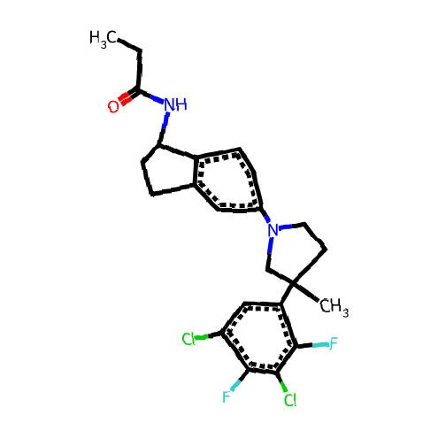 CCC(=O)NC1CCc2cc(N3CCC(C)(c4cc(Cl)c(F)c(Cl)c4F)C3)ccc21